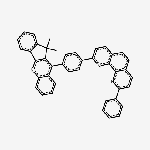 CC1(C)c2ccccc2-c2nc3ccccc3c(-c3ccc(-c4ccc5ccc6ccc(-c7ccccc7)nc6c5n4)cc3)c21